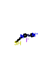 CN(CCCCCCS)c1ccc(/C=C/c2cc[n+](C)cc2)cc1.[I-]